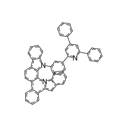 c1ccc(-c2cc(-c3ccccc3)nc(-c3cccc(-n4c5ccccc5c5ccc6c7ccccc7c7cc8ccccc8n7c6c54)c3)c2)cc1